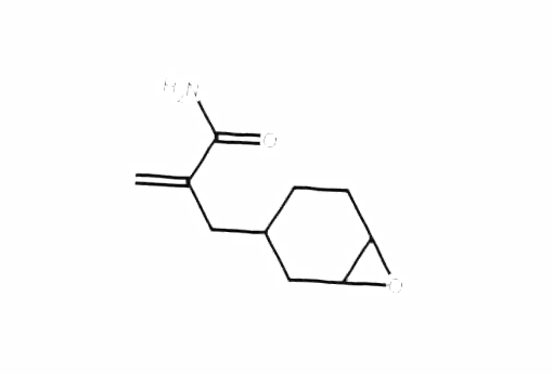 C=C(CC1CCC2OC2C1)C(N)=O